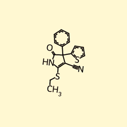 CCSC1=C(C#N)C(c2ccccc2)(c2cccs2)C(=O)N1